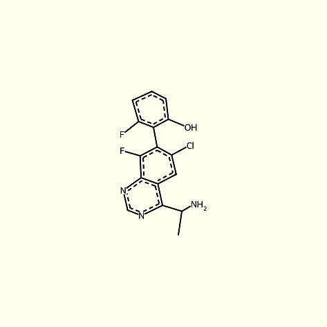 CC(N)c1ncnc2c(F)c(-c3c(O)cccc3F)c(Cl)cc12